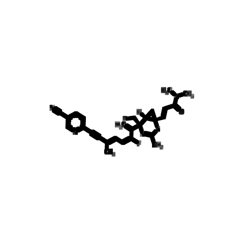 C=C(/C(F)=C\C=C(/C)C#Cc1ccc(C#N)cn1)[C@@]1(CF)N=C(N)S[C@@]2(/C=C/C(=O)N(C)C)C[C@H]21